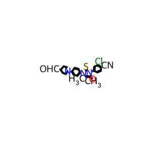 CC1(C)C(=O)N(c2ccc(C#N)c(Cl)c2)C(=S)N1c1ccc(N2CCC(C=O)CC2)cc1